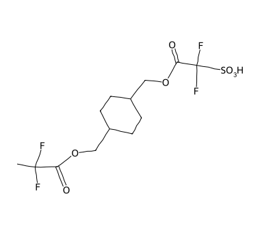 CC(F)(F)C(=O)OCC1CCC(COC(=O)C(F)(F)S(=O)(=O)O)CC1